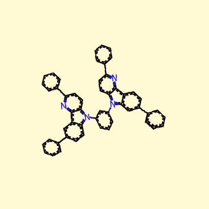 c1ccc(-c2ccc3c(c2)c2nc(-c4ccccc4)ccc2n3-c2cccc(-n3c4cc(-c5ccccc5)ccc4c4nc(-c5ccccc5)ccc43)c2)cc1